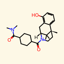 CN(C)C(=O)C1CCC(C(=O)N2CC[C@@]3(C)c4cccc(O)c4C[C@@H]2C3(C)C)CC1